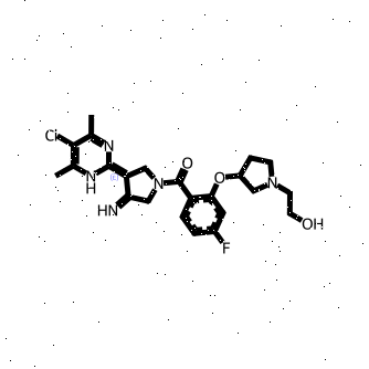 CC1=N/C(=C2\CN(C(=O)c3ccc(F)cc3OC3CCN(CCO)C3)CC2=N)NC(C)=C1Cl